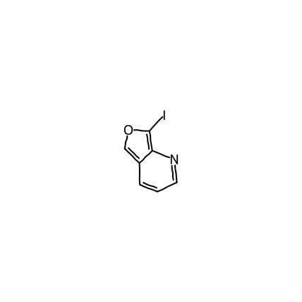 Ic1occ2cccnc12